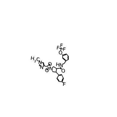 Cn1cnc(S(=O)(=O)N2CC(C(=O)NCc3cccc(OC(F)(F)F)c3)C(c3ccc(F)cc3)C2)c1